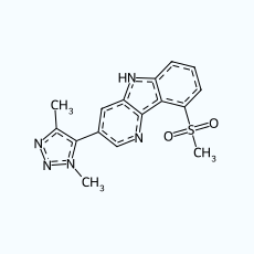 Cc1nnn(C)c1-c1cnc2c(c1)[nH]c1cccc(S(C)(=O)=O)c12